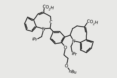 CCCCOCCOc1ccc(C2CC/C(C(=O)O)=C\c3ccccc3N2CC(C)C)cc1C1CC/C(C(=O)O)=C\c2ccccc2N1CC(C)C